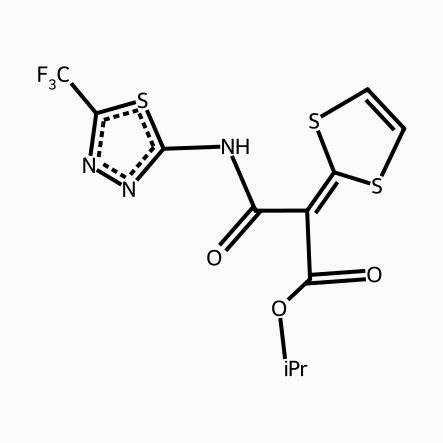 CC(C)OC(=O)C(C(=O)Nc1nnc(C(F)(F)F)s1)=C1SC=CS1